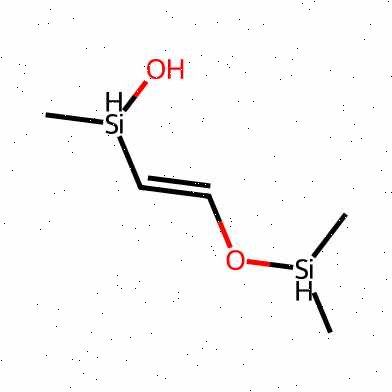 C[SiH](O)C=CO[SiH](C)C